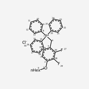 CCCCCCOc1ccc(C[P+](c2ccccc2)(c2ccccc2)c2ccccc2)c(F)c1F.[Cl-]